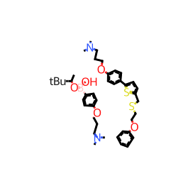 CC(OB(O)c1ccc(OCCCN(C)C)cc1)C(C)(C)C.CN(C)CCCOc1ccc(-c2ccc(CSCCOc3ccccc3)s2)cc1